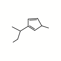 CCC(C)C1=C[C](C)C=C1